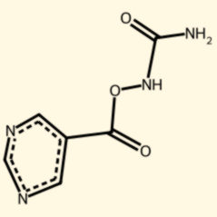 NC(=O)NOC(=O)c1cncnc1